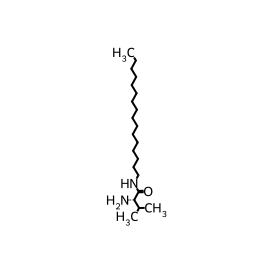 CCCCCCCCCCCCCCCCNC(=O)[C@@H](N)C(C)C